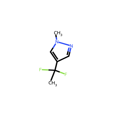 Cn1cc(C(C)(F)F)cn1